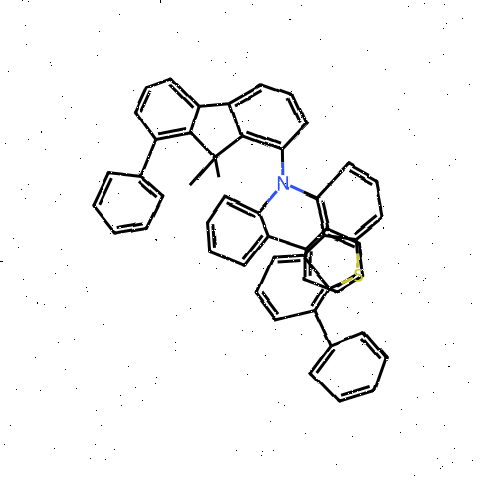 CC1(C)c2c(-c3ccccc3)cccc2-c2cccc(N(c3ccccc3-c3ccccc3)c3cccc4sc5c(-c6ccccc6)cccc5c34)c21